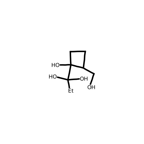 CCC(O)(O)C1(O)CCC1CO